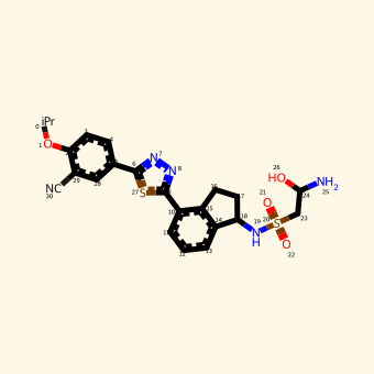 CC(C)Oc1ccc(-c2nnc(-c3cccc4c3CCC4NS(=O)(=O)CC(N)O)s2)cc1C#N